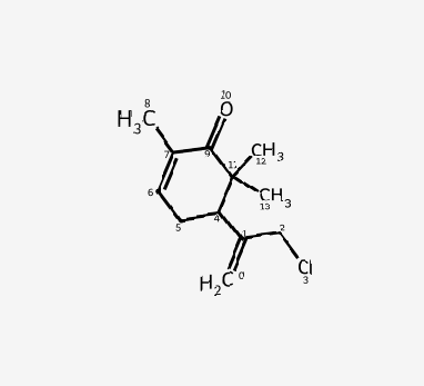 C=C(CCl)C1CC=C(C)C(=O)C1(C)C